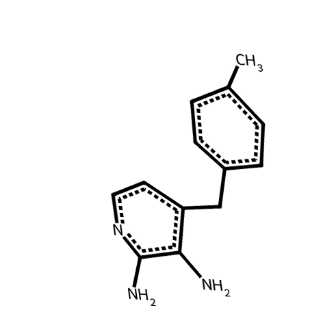 Cc1ccc(Cc2ccnc(N)c2N)cc1